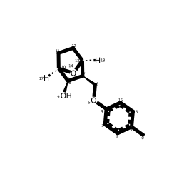 Cc1ccc(OC[C@H]2[C@@H](O)[C@H]3CC[C@@H]2O3)cc1